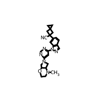 CN1CCOC2CN(c3cc(-n4ncc5ccc(C6(C#N)CC7(CC7)C6)cc54)ncn3)CC21